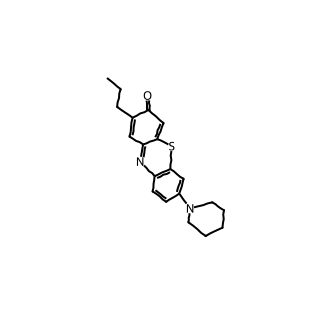 CCCc1cc2nc3ccc(N4CCCCC4)cc3sc-2cc1=O